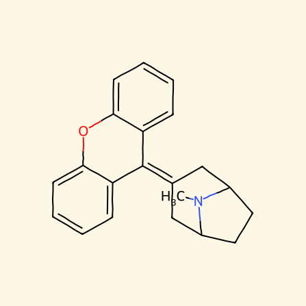 CN1C2CCC1CC(=C1c3ccccc3Oc3ccccc31)C2